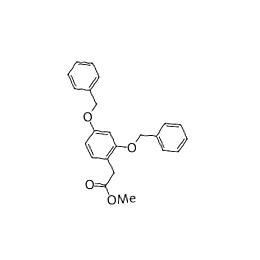 COC(=O)Cc1ccc(OCc2ccccc2)cc1OCc1ccccc1